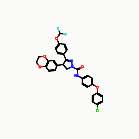 O=C(Nc1ccc(Oc2ccc(Cl)cc2)cc1)N1CC(c2ccc3c(c2)OCCO3)C(c2ccc(OC(F)F)cc2)=N1